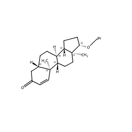 CC(C)O[C@H]1CC[C@H]2[C@@H]3CC[C@H]4CC(=O)C=C[C@]4(C)[C@H]3CC[C@]12C